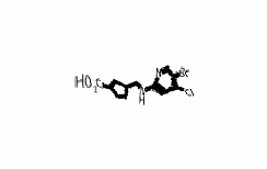 O=C(O)C1CCC(CNc2cc(Cl)c(Br)cn2)C1